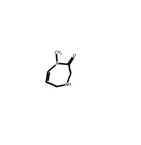 CN1C=CCNCC1=O